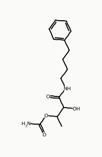 CC(OC(N)=O)C(O)C(=O)NCCCCc1ccccc1